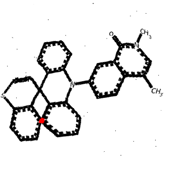 Cc1cn(C)c(=O)c2cc(N3c4ccccc4C4(c5ccccc5Sc5ccccc54)c4ccccc43)ccc12